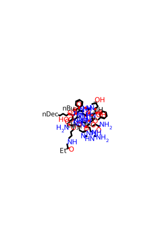 CCCCCCCCCCCCCCCC(=O)NCC(=O)N[C@H](C(=O)N[C@H](CCC(N)=O)C(=O)N[C@@H](Cc1c[nH]cn1)C(=O)N[C@H](C(=O)N[C@@H](CCCC)C(=O)NCC(=O)N1C[C@H](O)C[C@H]1C(=O)N[C@H](Cc1ccccc1)C(=O)N[C@@H](CCCNC(=N)N)C(=O)N[C@@H](Cc1c[nH]c2ccccc12)C(=O)N[C@@H](CCCCNCC(=O)CC)C(N)=O)[C@@H](C)O)[C@@H](C)O